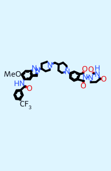 COc1cc2nn(C3CCN(CC4CCN(c5ccc6c(c5)C(=O)N(N5CCC(=O)NC5=O)C6=O)CC4)CC3)cc2cc1NC(=O)c1cccc(C(F)(F)F)c1